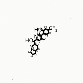 Cc1cc(C(O)C2CCC3CCCN3C2)nnc1-c1ccc(C(F)(F)F)cc1O